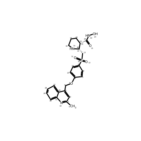 Cc1cc(COc2ccc(S(=O)(=O)C[C@@H]3NCCC[C@@H]3C(=O)NO)cc2)c2ccccc2n1